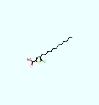 CCCCCCCCCCCCc1cc(C(=O)O)sc1Cl